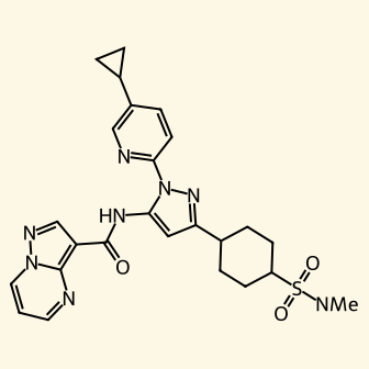 CNS(=O)(=O)C1CCC(c2cc(NC(=O)c3cnn4cccnc34)n(-c3ccc(C4CC4)cn3)n2)CC1